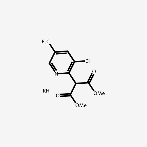 COC(=O)C(C(=O)OC)c1ncc(C(F)(F)F)cc1Cl.[KH]